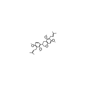 COc1ccc(C2COc3cc(OC)c(CC=C(C)C)c(OC)c3C2)c(OC)c1CC=C(C)C